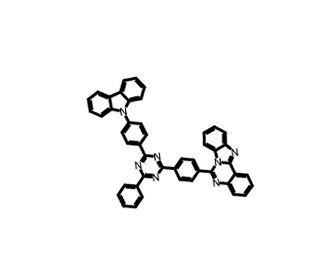 c1ccc(-c2nc(-c3ccc(-c4nc5ccccc5c5nc6ccccc6n45)cc3)nc(-c3ccc(-n4c5ccccc5c5ccccc54)cc3)n2)cc1